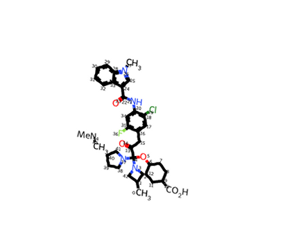 CC1CN(C(OC2CCC(C(=O)O)CC2)(C(=O)Cc2cc(Cl)c(NC(=O)c3cn(C)c4ccccc34)cc2F)N2CCCC2)C1.CNC